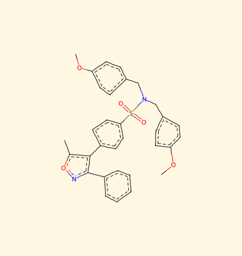 COc1ccc(CN(Cc2ccc(OC)cc2)S(=O)(=O)c2ccc(-c3c(-c4ccccc4)noc3C)cc2)cc1